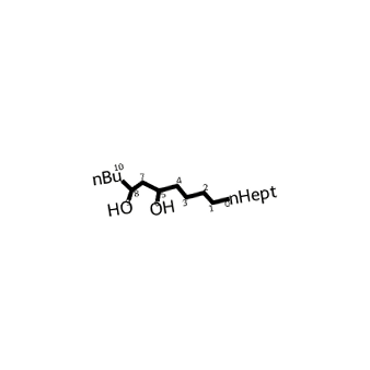 CCCCCCCCCCCC(O)CC(O)CCCC